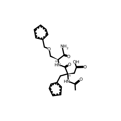 CC(=O)N[C@](CC(=O)O)(Cc1ccccc1)C(=O)N[C@@H](COCc1ccccc1)C(N)=O